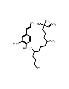 C/C=C/c1ccc(O)c(OC)c1.C=CC(C)(O)CCCC(C)CCCC(C)CCCC(C)C